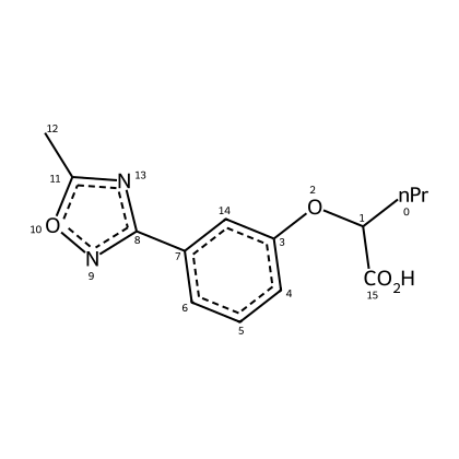 CCCC(Oc1cccc(-c2noc(C)n2)c1)C(=O)O